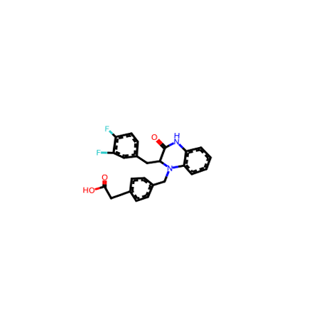 O=C(O)Cc1ccc(CN2c3ccccc3NC(=O)C2Cc2ccc(F)c(F)c2)cc1